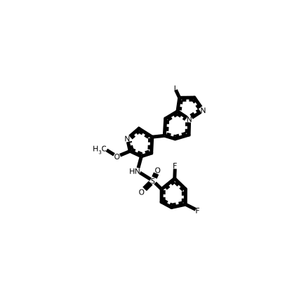 COc1ncc(-c2ccn3ncc(I)c3c2)cc1NS(=O)(=O)c1ccc(F)cc1F